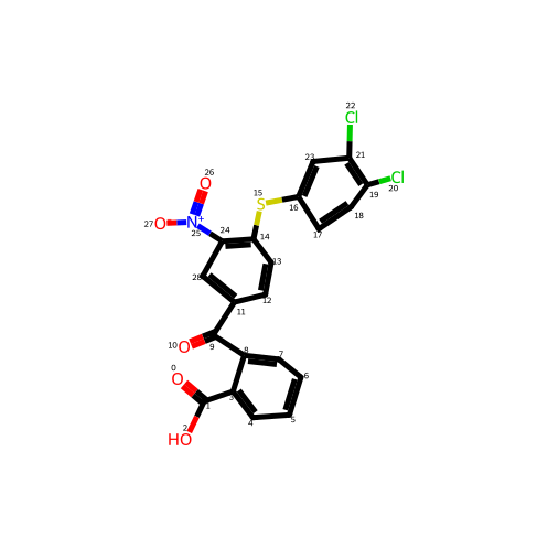 O=C(O)c1ccccc1C(=O)c1ccc(Sc2ccc(Cl)c(Cl)c2)c([N+](=O)[O-])c1